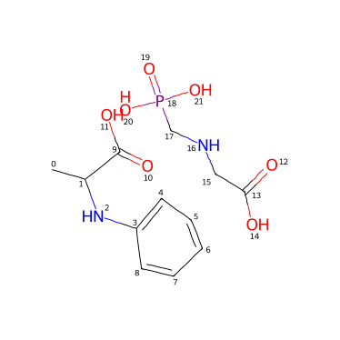 CC(Nc1ccccc1)C(=O)O.O=C(O)CNCP(=O)(O)O